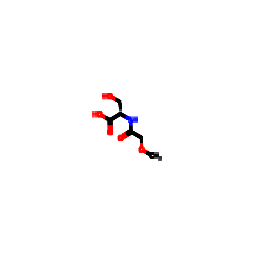 COCC(=O)N[C@@H](CO)C(=O)O